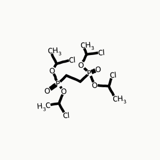 CC(Cl)OP(=O)(CCP(=O)(OC(C)Cl)OC(C)Cl)OC(C)Cl